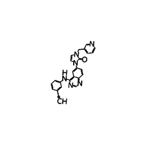 C#Cc1cccc(Nc2ncnc3ccc(-n4ccn(Cc5cccnc5)c4=O)cc23)c1